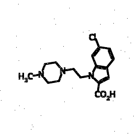 CN1CCN(CCn2c(C(=O)O)cc3ccc(Cl)cc32)CC1